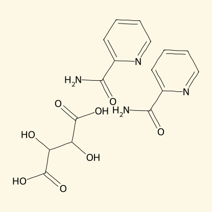 NC(=O)c1ccccn1.NC(=O)c1ccccn1.O=C(O)C(O)C(O)C(=O)O